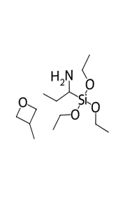 CC1COC1.CCO[Si](OCC)(OCC)C(N)CC